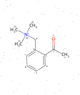 CC(=O)c1ccccc1C[N+](C)(C)C